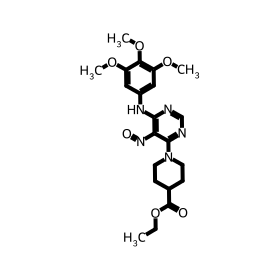 CCOC(=O)C1CCN(c2ncnc(Nc3cc(OC)c(OC)c(OC)c3)c2N=O)CC1